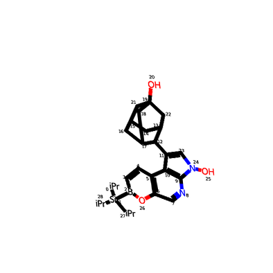 CC(C)[Si](B1C=Cc2c(cnc3c2c(C2C4CC5CC2CC(O)(C5)C4)cn3O)O1)(C(C)C)C(C)C